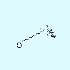 C1CO1.CCCCCCCCCCCCOc1ccccc1.O=S(=O)([O-])[O-].[Na+].[Na+]